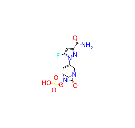 NC(=O)c1cc(F)n(C2=CC3CN(C2)C(=O)N3OS(=O)(=O)O)n1